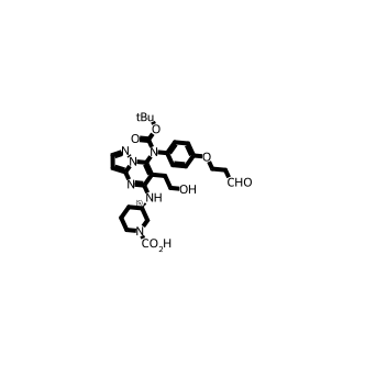 CC(C)(C)OC(=O)N(c1ccc(OCCC=O)cc1)c1c(CCO)c(N[C@H]2CCCN(C(=O)O)C2)nc2ccnn12